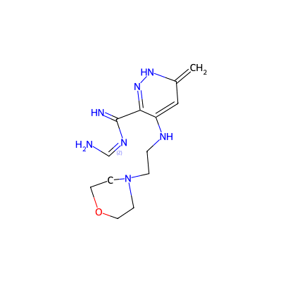 C=C1C=C(NCCN2CCOCC2)C(C(=N)/N=C\N)=NN1